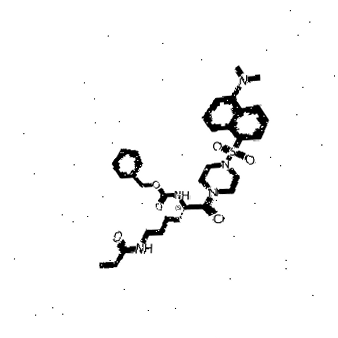 C=CC(=O)NCCCC[C@H](NC(=O)OCc1ccccc1)C(=O)N1CCN(S(=O)(=O)c2cccc3c(N(C)C)cccc23)CC1